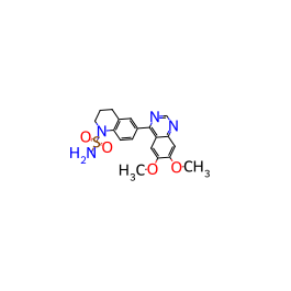 COc1cc2ncnc(-c3ccc4c(c3)CCCN4S(N)(=O)=O)c2cc1OC